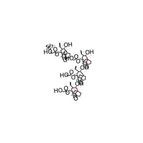 C=C[C@]1(C)C[C@@H](OC(=O)CO)[C@]2(C)[C@H](C)CC[C@]3(CCC(=O)[C@@H]32)[C@@H](C)[C@@H]1O.C=C[C@]1(C)C[C@@H](OC(=O)CO)[C@]2(C)[C@H](C)CC[C@]3(CCC(=O)[C@@H]32)[C@@H](C)[C@@H]1O.C=C[C@]1(C)C[C@@H](OC(=O)CO)[C@]2(C)[C@H](C)CC[C@]3(CCC(=O)[C@@H]32)[C@@H](C)[C@@H]1O.C=C[C@]1(C)C[C@@H](OC(=O)CO)[C@]2(C)[C@H](C)CC[C@]3(CCC(=O)[C@@H]32)[C@@H](C)[C@@H]1O.[S-2].[S-2]